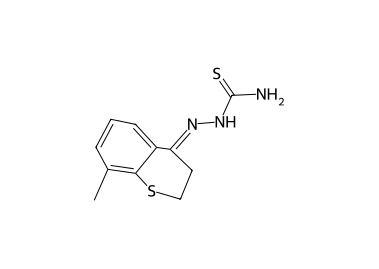 Cc1cccc2c1SCCC2=NNC(N)=S